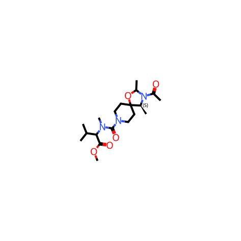 COC(=O)C(C(C)C)N(C)C(=O)N1CCC2(CC1)OC(C)N(C(C)=O)[C@H]2C